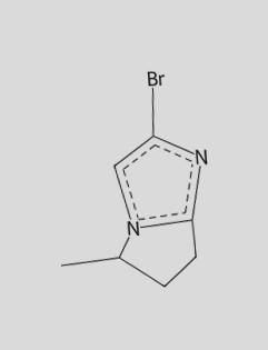 CC1CCc2nc(Br)cn21